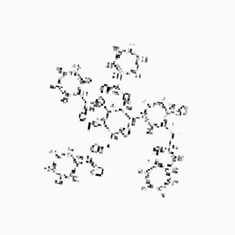 O=C(OCC1OC(c2ccc(Cl)c(Cc3cc4ccccc4s3)c2)[C@H](OC(=O)c2ccccc2)C(OC(=O)c2ccccc2)C1F)c1ccccc1